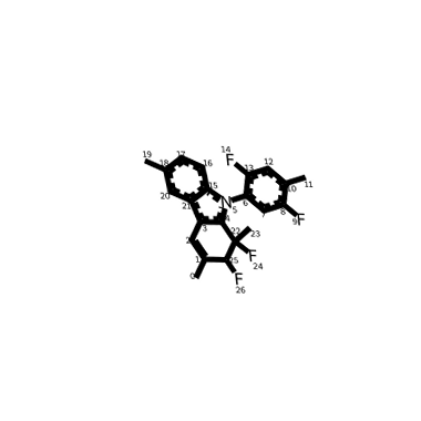 CC1=Cc2c(n(-c3cc(F)c(C)cc3F)c3ccc(C)cc23)C(C)(F)C1F